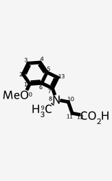 COc1cccc2c1C(N(C)CCC(=O)O)=C2